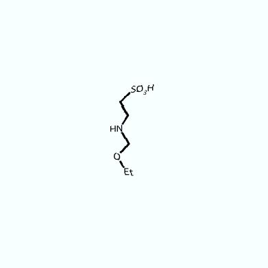 CCOCNCCS(=O)(=O)O